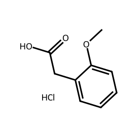 COc1ccccc1CC(=O)O.Cl